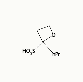 CCCC1(S(=O)(=O)O)CCO1